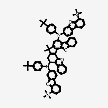 CC(C)(C)c1ccc(N(c2ccc3c(c2)oc2c([Si](C)(C)C)cccc23)c2cc3c(c4oc5ccccc5c24)C2=C(CC(N(c4ccc(C(C)(C)C)cc4)c4ccc5c(c4)oc4c([Si](C)(C)C)cccc45)c4c2oc2ccccc42)C3(C)C)cc1